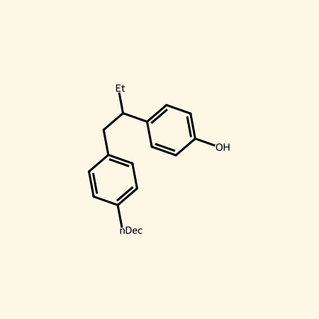 CCCCCCCCCCc1ccc(CC(CC)c2ccc(O)cc2)cc1